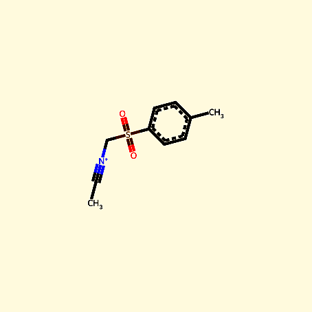 CC#[N+]CS(=O)(=O)c1ccc(C)cc1